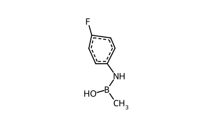 CB(O)Nc1ccc(F)cc1